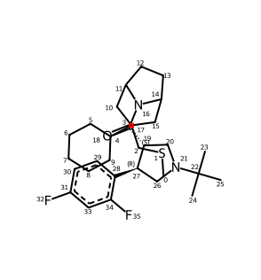 CSCC1(C2CCCCC2)CC2CCC(C1)N2C(=O)[C@@H]1CN(C(C)(C)C)C[C@H]1c1ccc(F)cc1F